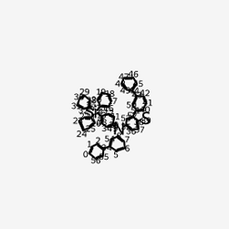 c1ccc(-c2cccc(N(c3ccc([Si](c4ccccc4)(c4ccccc4)c4ccccc4)cc3)c3ccc4sc5ccc(-c6ccccc6)cc5c4c3)c2)cc1